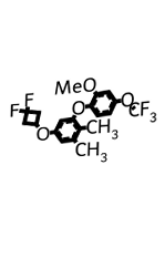 COc1cc(OC(F)(F)F)ccc1Oc1cc(OC2CC(F)(F)C2)cc(C)c1C